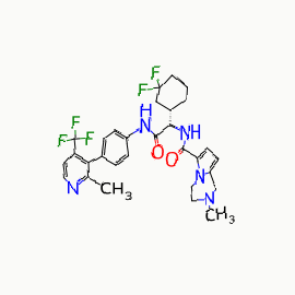 Cc1nccc(C(F)(F)F)c1-c1ccc(NC(=O)C(NC(=O)c2ccc3n2CCN(C)C3)[C@H]2CCCC(F)(F)C2)cc1